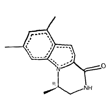 Cc1cc(C)c2cc3n(c2c1)[C@H](C)CNC3=O